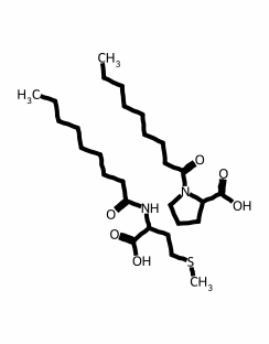 CCCCCCCCC(=O)N1CCCC1C(=O)O.CCCCCCCCC(=O)NC(CCSC)C(=O)O